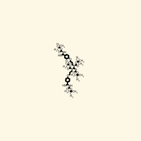 CC(C)(C)OC(=O)N=C(N(CCCOc1ccc(C(=N)NC(=O)OC(C)(C)C)cc1)C(=O)OC(C)(C)C)N(CCCOc1ccc(C(=N)NC(=O)OC(C)(C)C)cc1)C(=O)OC(C)(C)C